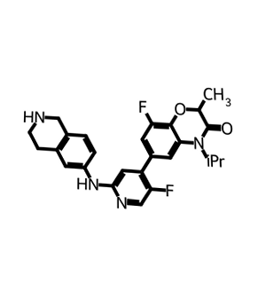 CC1Oc2c(F)cc(-c3cc(Nc4ccc5c(c4)CCNC5)ncc3F)cc2N(C(C)C)C1=O